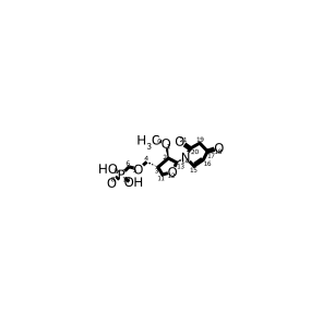 CO[C@@H]1[C@@H](COCP(=O)(O)O)CO[C@H]1N1C=CC(=O)CC1=O